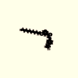 CCCCCCCCCCCCOc1cccc(C(=O)/C=C/c2ccc(SC(C)(C)C)cc2)c1